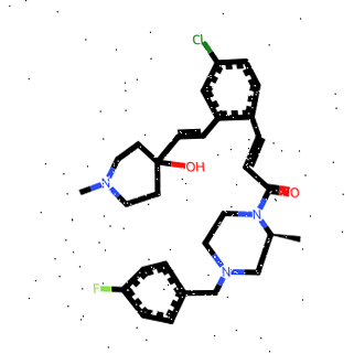 C[C@H]1CN(Cc2ccc(F)cc2)CCN1C(=O)/C=C/c1ccc(Cl)cc1/C=C/C1(O)CCN(C)CC1